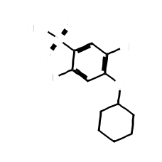 CS(=O)(=O)c1cc(Cl)c(OC2CCCCC2)cc1F